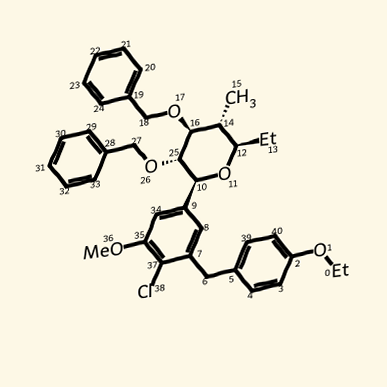 CCOc1ccc(Cc2cc([C@@H]3O[C@H](CC)[C@@H](C)[C@H](OCc4ccccc4)[C@H]3OCc3ccccc3)cc(OC)c2Cl)cc1